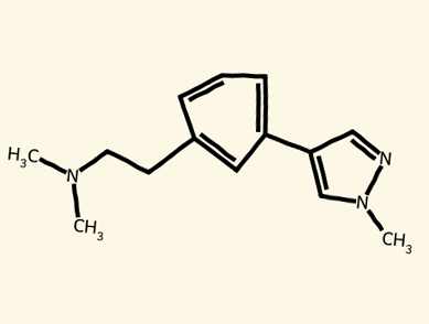 CN(C)CCc1cccc(-c2cnn(C)c2)c1